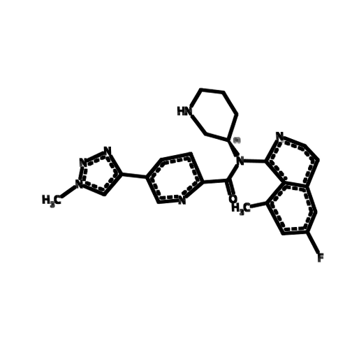 Cc1cc(F)cc2ccnc(N(C(=O)c3ccc(-c4cn(C)nn4)cn3)[C@@H]3CCCNC3)c12